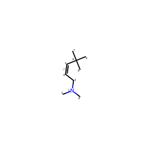 CN(C)C/C=C\C(C)(C)C